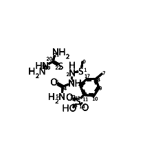 CSNNC(N)=O.Cc1ccc(S(=O)(=O)O)cc1.NNC(N)=S